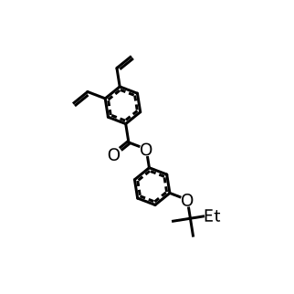 C=Cc1ccc(C(=O)Oc2cccc(OC(C)(C)CC)c2)cc1C=C